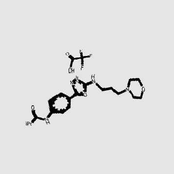 CC(C)C(=O)Nc1ccc(-c2nnc(NCCCN3CCOCC3)o2)cc1.O=C(O)C(F)(F)F